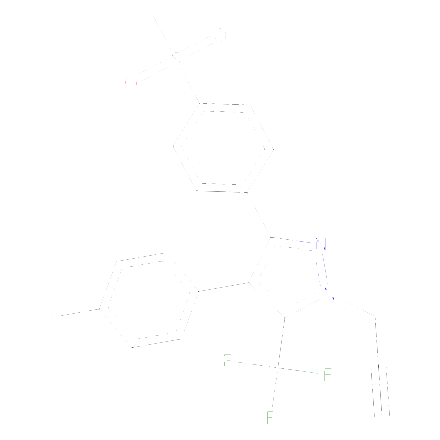 C#CCn1nc(-c2ccc(S(C)(=O)=O)cc2)c(-c2ccc(C)cc2)c1C(F)(F)F